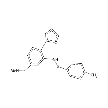 CNCc1ccc(-c2ccco2)c(NSc2ccc(C)cc2)c1